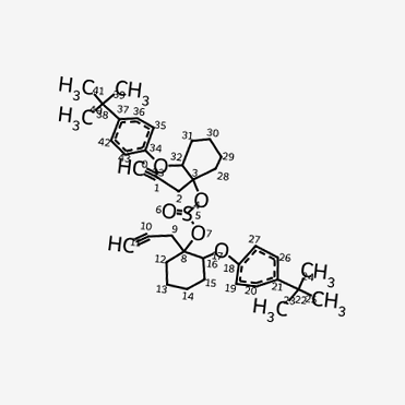 C#CCC1(OS(=O)OC2(CC#C)CCCCC2Oc2ccc(C(C)(C)C)cc2)CCCCC1Oc1ccc(C(C)(C)C)cc1